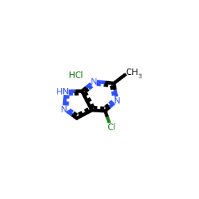 Cc1nc(Cl)c2cn[nH]c2n1.Cl